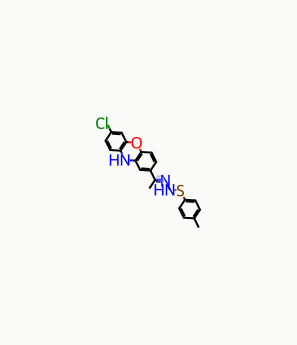 C/C(=N\NSc1ccc(C)cc1)c1ccc2c(c1)Nc1ccc(Cl)cc1O2